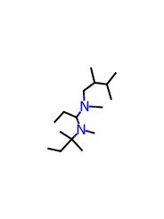 CCC(N(C)CC(C)C(C)C)N(C)C(C)(C)CC